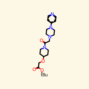 CC(C)(C)OC(=O)COC1CCN(C(=O)CN2CCN(c3ccncc3)CC2)CC1